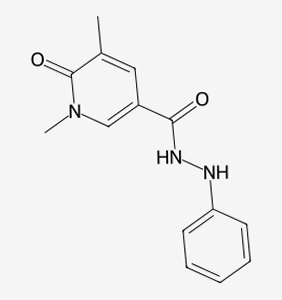 Cc1cc(C(=O)NNc2ccccc2)cn(C)c1=O